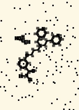 CCN(CC)C(=O)c1cccc(OCCCN(CCc2cccnc2)Cc2ccncc2)c1.Cl.Cl.Cl